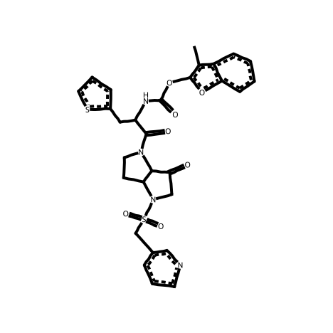 Cc1c(OC(=O)NC(Cc2cccs2)C(=O)N2CCC3C2C(=O)CN3S(=O)(=O)Cc2cccnc2)oc2ccccc12